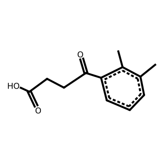 Cc1cccc(C(=O)CCC(=O)O)c1C